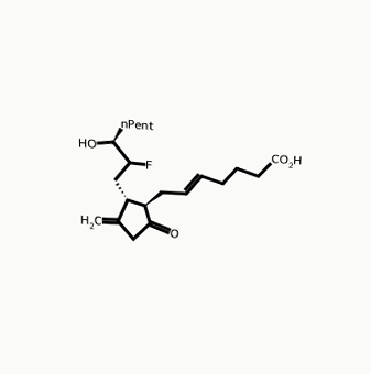 C=C1CC(=O)[C@H](CC=CCCCC(=O)O)[C@H]1CC(F)[C@@H](O)CCCCC